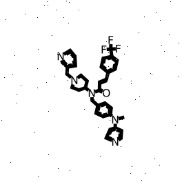 CN(c1ccncc1)c1ccc(CN(C(=O)C=Cc2ccc(C(F)(F)F)cc2)C2CCN(Cc3cccnc3)CC2)cc1